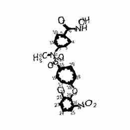 CN(c1ccc(C(=O)NO)cc1)S(=O)(=O)c1ccc(Oc2c(Cl)cccc2[N+](=O)[O-])cc1